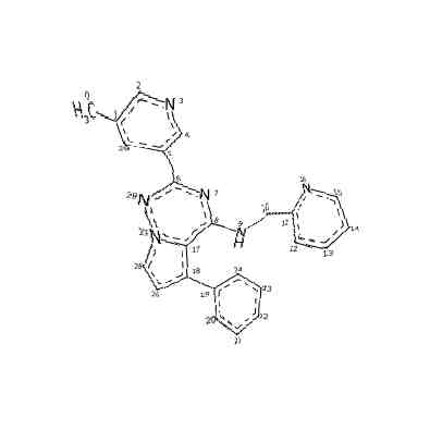 Cc1cncc(-c2nc(NCc3ccccn3)c3c(-c4ccccc4)ccn3n2)c1